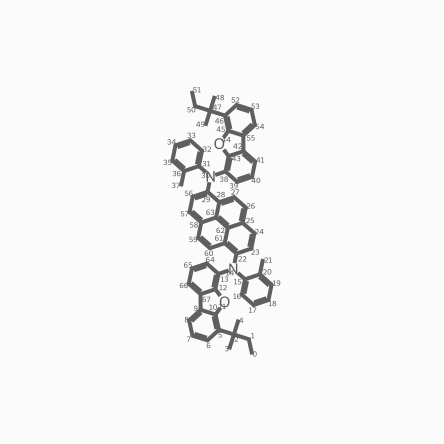 CCC(C)(C)c1cccc2c1oc1c(N(c3ccccc3C)c3ccc4ccc5c(N(c6ccccc6C)c6cccc7c6oc6c(C(C)(C)CC)cccc67)ccc6ccc3c4c65)cccc12